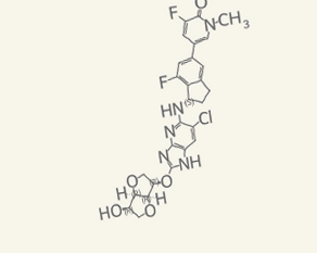 Cn1cc(-c2cc(F)c3c(c2)CC[C@@H]3Nc2nc3nc(O[C@@H]4CO[C@H]5[C@@H]4OC[C@H]5O)[nH]c3cc2Cl)cc(F)c1=O